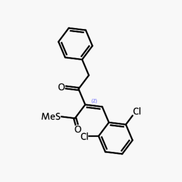 CSC(=O)/C(=C\c1c(Cl)cccc1Cl)C(=O)Cc1ccccc1